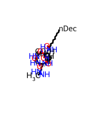 CCCCCCCCCCCCCCCCCCCCC(=O)NC[C@@H]1C[C@@H]2CC[C@H]3C(=O)N[C@@H](CCCNC(C)=N)C(=O)NCC(=O)N[C@@H](CC(=O)O)C(=O)N[C@H]1C(=O)N23